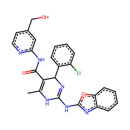 CC1=C(C(=O)Nc2cc(CO)ccn2)C(c2ccccc2Cl)N=C(Nc2nc3ccccc3o2)N1